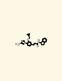 Cc1cn(-c2ccc(/C=C/C(=O)NC3CCc4ccccc43)cc2OCC2CC2)cn1